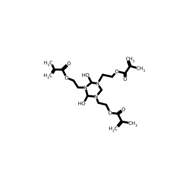 C=C(C)C(=O)OCCN1CN(CCOC(=O)C(=C)C)C(O)N(CCOC(=O)C(=C)C)C1O